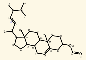 CC(C)C(C)/C=C/C(C)C1CCC2C3CC=C4CC(OC=O)CCC4(C)C3CCC12C